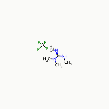 CN=C(NC)N(C)C.F[B-](F)(F)F